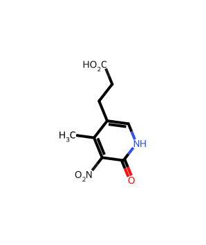 Cc1c(CCC(=O)O)c[nH]c(=O)c1[N+](=O)[O-]